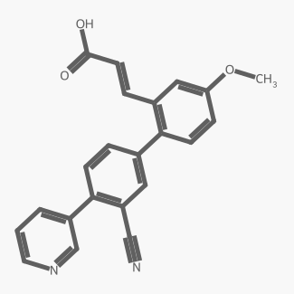 COc1ccc(-c2ccc(-c3cccnc3)c(C#N)c2)c(/C=C/C(=O)O)c1